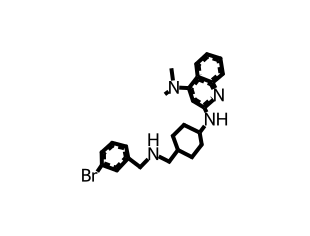 CN(C)c1cc(NC2CCC(CNCc3cccc(Br)c3)CC2)nc2ccccc12